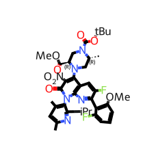 COC(=O)[C@H]1CN(C(=O)OC(C)(C)C)[C@H](C)CN1c1c([N+](=O)[O-])c(=O)n(-c2c(C)cc(C)nc2C(C)C)c2nc(-c3c(F)cccc3OC)c(F)cc12